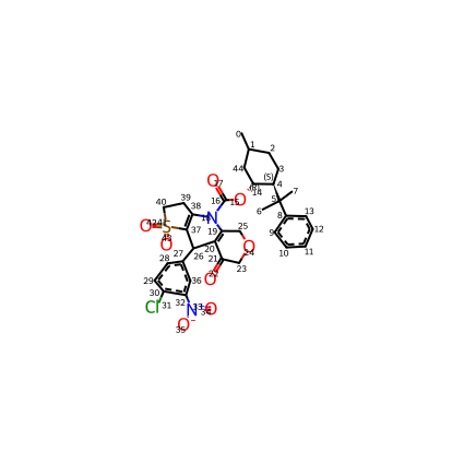 CC1CC[C@@H](C(C)(C)c2ccccc2)[C@H](OC(=O)N2C3=C(C(=O)COC3)C(c3ccc(Cl)c([N+](=O)[O-])c3)C3=C2CCS3(=O)=O)C1